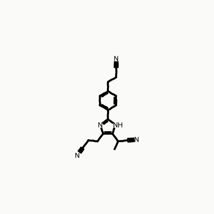 CC(C#N)c1[nH]c(-c2ccc(CCC#N)cc2)nc1CCC#N